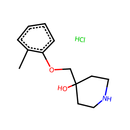 Cc1ccccc1OCC1(O)CCNCC1.Cl